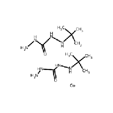 CC(C)(C)NNC(=O)NN.CC(C)(C)NNC(=O)NN.[Co]